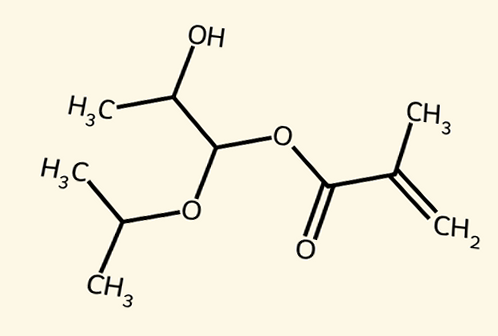 C=C(C)C(=O)OC(OC(C)C)C(C)O